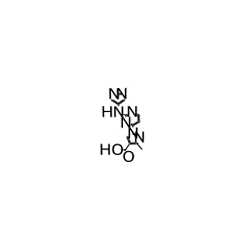 Cc1nn(-c2ccnc(Nc3cnn(C)c3)n2)cc1C(=O)O